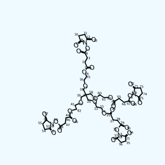 O=C(CCC(=O)ON1C(=O)CCC1=O)OCCOCC(COCCOC(=O)CCC(=O)ON1C(=O)CCC1=O)(COCCOC(=O)CCC(=O)ON1C(=O)CCC1=O)COCCOC(=O)CCC(=O)ON1C(=O)CCC1=O